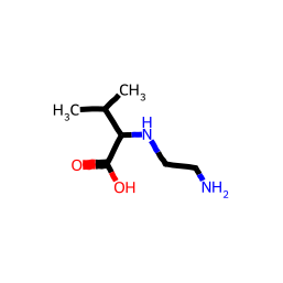 CC(C)C(NCCN)C(=O)O